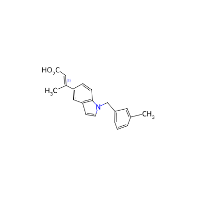 C/C(=C\C(=O)O)c1ccc2c(ccn2Cc2cccc(C)c2)c1